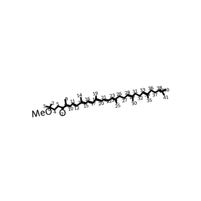 COC(C)(C)CCC(=O)/C(C)=C/C=C/C(C)=C/C=C/C(C)=C/C=C/C=C(\C)CC/C=C(\C)CC/C=C(\C)CCC=C(C)C